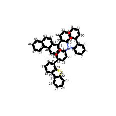 c1ccc(-c2ccccc2N(c2ccc(-c3cccc4c3sc3ccccc34)cc2)c2ccccc2-c2cccc3c2ccc2ccccc23)cc1